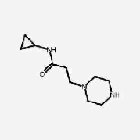 O=C(CCN1CCNCC1)NC1CC1